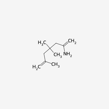 C=C(C)CC(C)(C)CC(=C)N